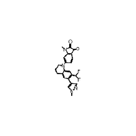 CN1C(=O)C(=O)c2ccc(N3CCCc4cc(-c5cnn(C)c5)c(C(F)F)cc43)cc21